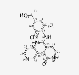 C[C@@H](O)c1cc(Cl)c(Nc2nc3ccncc3c3c(=O)[nH]ccc23)c(Cl)c1